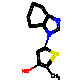 Cc1sc(-n2cnc3ccccc32)cc1O